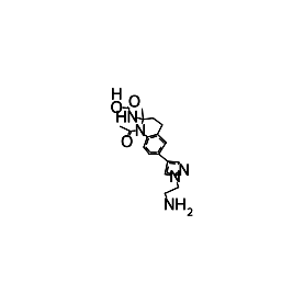 CC(=O)N1c2ccc(-c3cnn(CCN)c3)cc2CCC1(C)NC(=O)O